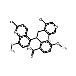 COc1ccc(C(=O)O)c(C(Cc2c(Cl)cncc2Cl)c2ccc(OC)c3nc(Cl)ccc23)c1